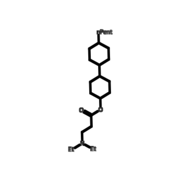 CCCCCC1CCC(C2CCC(OC(=O)CCN(CC)CC)CC2)CC1